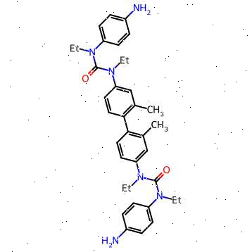 CCN(C(=O)N(CC)c1ccc(-c2ccc(N(CC)C(=O)N(CC)c3ccc(N)cc3)cc2C)c(C)c1)c1ccc(N)cc1